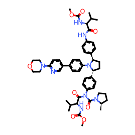 COC(=O)N[C@H](C(=O)Nc1ccc([C@H]2CC[C@H](c3ccc(N(C(=O)[C@@H](NC(=O)OC)C(C)C)C(=O)N4CCC[C@H]4C)cc3)N2c2ccc(-c3ccc(N4CCOCC4)nc3)cc2)cc1)C(C)C